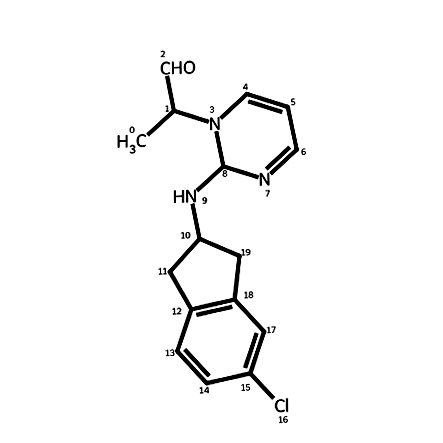 CC(C=O)N1C=CC=NC1NC1Cc2ccc(Cl)cc2C1